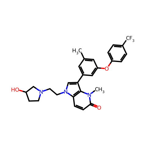 Cc1cc(Oc2ccc(C(F)(F)F)cc2)cc(-c2cn(CCN3CCC(O)C3)c3ccc(=O)n(C)c23)c1